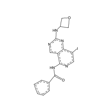 O=C(Nc1ncc(I)c2nc(NC3COC3)ncc12)c1ccccc1